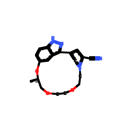 C[C@@H]1COCCOCCn2cc(cc2C#N)-c2n[nH]c3ccc(cc23)O1